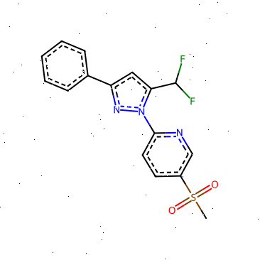 CS(=O)(=O)c1ccc(-n2nc(-c3ccccc3)cc2C(F)F)nc1